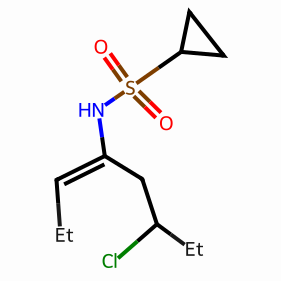 CC/C=C(\CC(Cl)CC)NS(=O)(=O)C1CC1